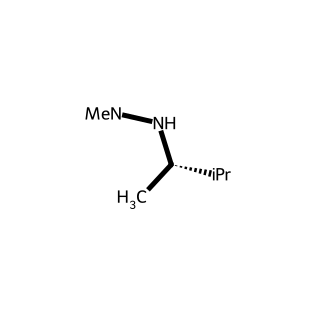 CNN[C@@H](C)C(C)C